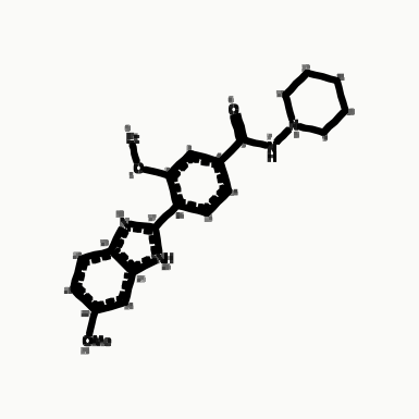 CCOc1cc(C(=O)NN2CCCCC2)ccc1-c1nc2ccc(OC)cc2[nH]1